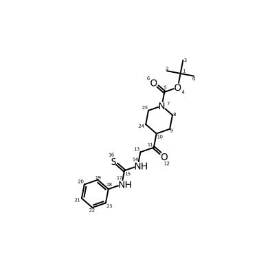 CC(C)(C)OC(=O)N1CCC(C(=O)CNC(=S)Nc2ccccc2)CC1